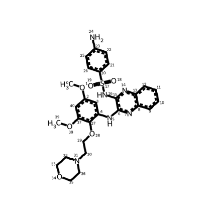 COc1cc(Nc2nc3ccccc3nc2NS(=O)(=O)c2ccc(N)cc2)c(OCCN2CCOCC2)c(OC)c1